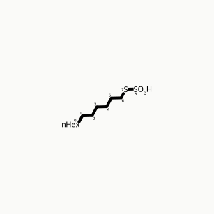 CCCCCCCCCCCCSS(=O)(=O)O